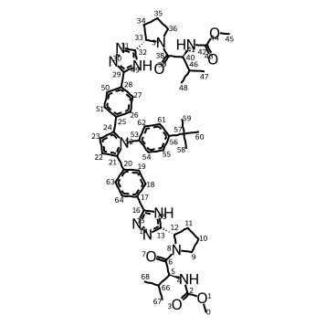 COC(=O)N[C@H](C(=O)N1CCC[C@H]1c1nnc(-c2ccc(-c3ccc(-c4ccc(-c5nnc([C@@H]6CCCN6C(=O)[C@@H](NC(=O)OC)C(C)C)[nH]5)cc4)n3-c3ccc(C(C)(C)C)cc3)cc2)[nH]1)C(C)C